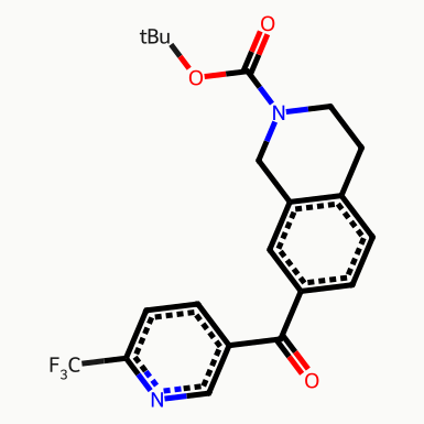 CC(C)(C)OC(=O)N1CCc2ccc(C(=O)c3ccc(C(F)(F)F)nc3)cc2C1